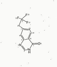 O=c1[nH]cnc2cc(CC(F)(F)F)ccc12